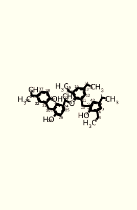 CCc1cc(CC)c(O)c(Cc2cc(CC)cc(CC)c2OC(C)c2ccc(O)c(Cc3cc(C(C)C)ccc3O)c2)c1